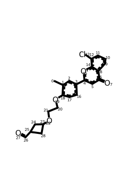 Cc1cc(-c2cc(=O)c3cccc(Cl)c3o2)ccc1OCCOC1CC(C=O)C1